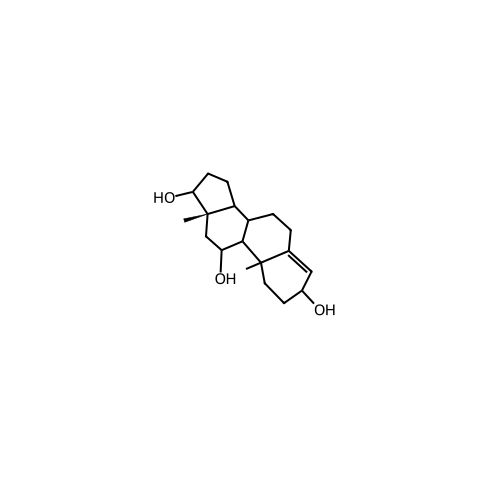 CC12CCC(O)C=C1CCC1C2C(O)C[C@]2(C)C(O)CCC12